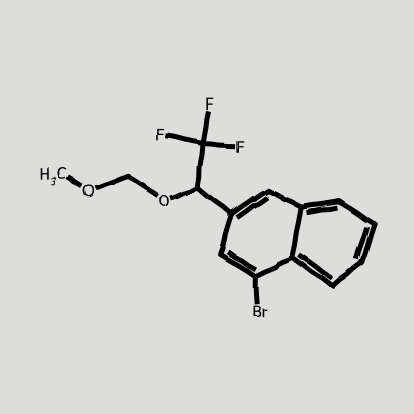 COCOC(c1cc(Br)c2ccccc2c1)C(F)(F)F